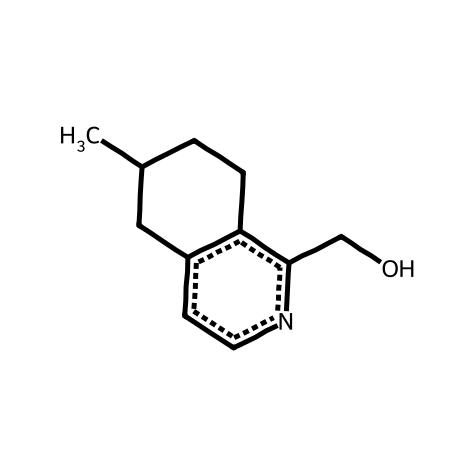 CC1CCc2c(ccnc2CO)C1